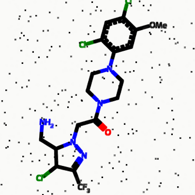 COc1cc(N2CCN(C(=O)CN3N=C(C(F)(F)F)C(Cl)C3CN)CC2)c(Cl)cc1Cl